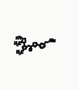 C=C1C(CCC)CCC1C1=CC(C)C=C1CC(=O)C1=CCC(c2cccc(CCC(C)(C)C)c2)=C1